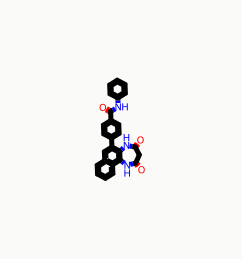 O=C1CC(=O)Nc2c(c(-c3ccc(C(=O)Nc4ccccc4)cc3)cc3ccccc23)N1